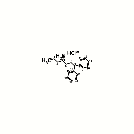 CCCC(N)CCC(c1ccccc1)c1ccccc1.Cl